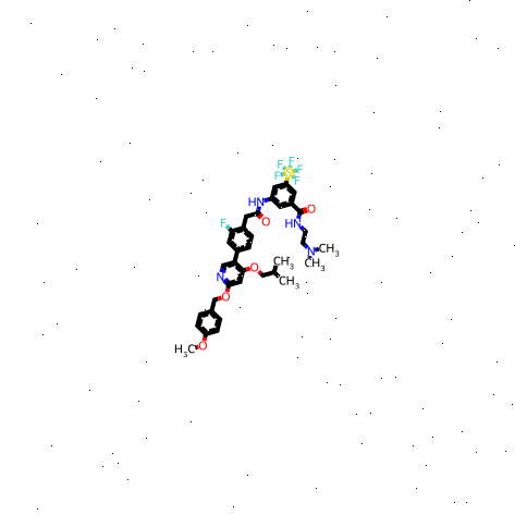 COc1ccc(COc2cc(OCC(C)C)c(-c3ccc(CC(=O)Nc4cc(C(=O)NCCN(C)C)cc(S(F)(F)(F)(F)F)c4)c(F)c3)cn2)cc1